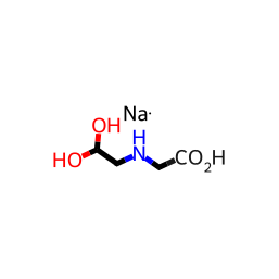 O=C(O)CNCC(O)O.[Na]